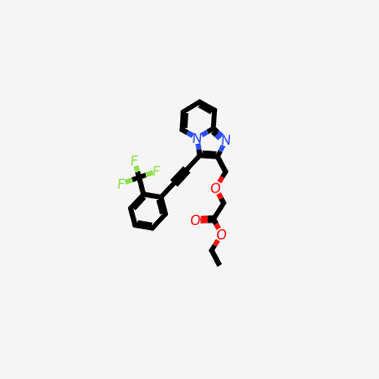 CCOC(=O)COCc1nc2ccccn2c1C#Cc1ccccc1C(F)(F)F